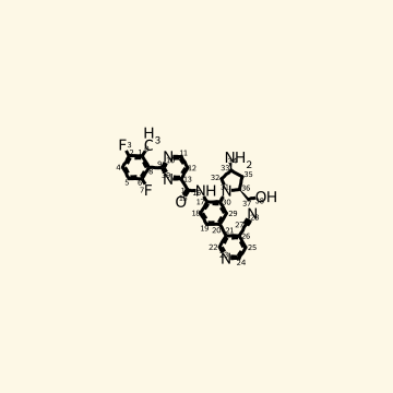 Cc1c(F)ccc(F)c1-c1nccc(C(=O)Nc2ccc(-c3cnccc3C#N)cc2N2C[C@@H](N)C[C@H]2CO)n1